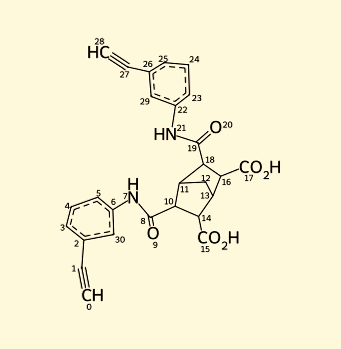 C#Cc1cccc(NC(=O)C2C3CC(C2C(=O)O)C(C(=O)O)C3C(=O)Nc2cccc(C#C)c2)c1